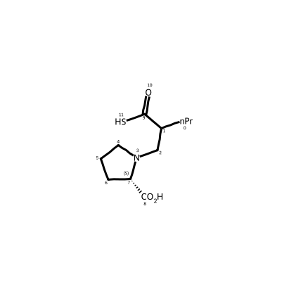 CCCC(CN1CCC[C@H]1C(=O)O)C(=O)S